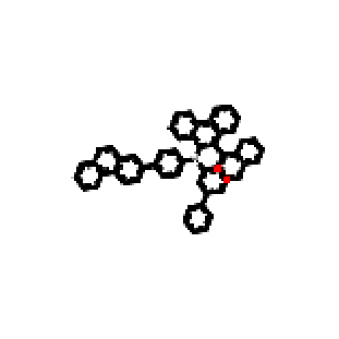 c1ccc(-c2cccc(N(c3ccc(-c4ccc5c(ccc6ccccc65)c4)cc3)c3c(-c4cccc5ccccc45)c4ccccc4c4ccccc34)c2)cc1